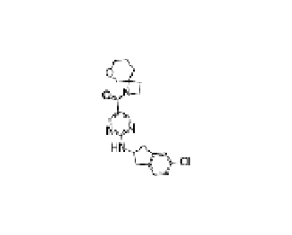 O=C(c1cnc(NC2Cc3ccc(Cl)cc3C2)nc1)N1CCC12CCCOC2